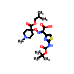 CC(C)COC(=O)C1(O/N=C(\C(=O)O)c2csc(NC(=O)OC(C)(C)C)n2)CCN(C)CC1